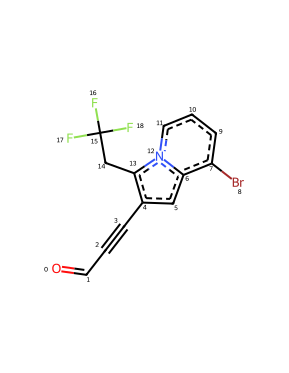 O=CC#Cc1cc2c(Br)cccn2c1CC(F)(F)F